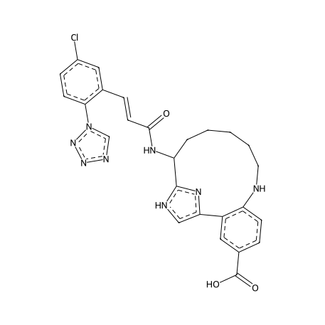 O=C(C=Cc1cc(Cl)ccc1-n1cnnn1)NC1CCCCCNc2ccc(C(=O)O)cc2-c2c[nH]c1n2